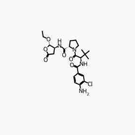 CCO[C@H]1OC(=O)C[C@@H]1NC(=O)[C@@H]1CCCN1C(=O)[C@H](NC(=O)c1ccc(N)c(Cl)c1)C(C)(C)C